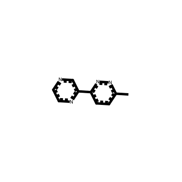 Cc1ccc(-c2cnccn2)nn1